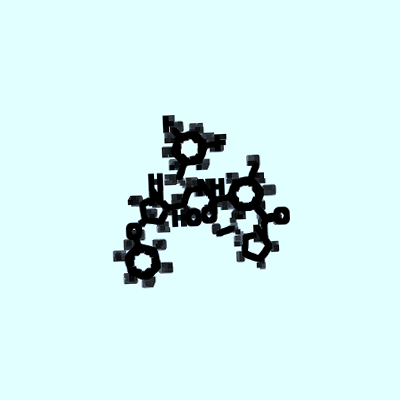 CC[C@H]1CCCN1C(=O)c1cc(C)cc(C(=O)N[C@@H](Cc2cc(F)cc(F)c2)[C@H](O)[C@H]2C[C@@H](Oc3ccccc3)CN2)c1